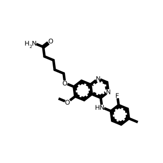 COc1cc2c(Nc3ccc(C)cc3F)ncnc2cc1OCCCCC(N)=O